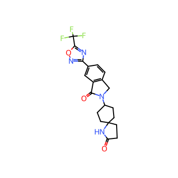 O=C1CCC2(CCC(N3Cc4ccc(-c5noc(C(F)(F)F)n5)cc4C3=O)CC2)N1